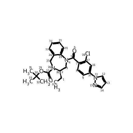 CC[C@@H]1CN(C(=O)c2ccc(-n3cccn3)cc2Cl)c2ccccc2CN1C(=O)OC(C)(C)C